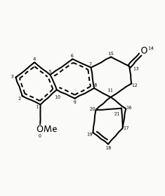 COc1cccc2cc3c(cc12)C1(CC(=O)C3)CC2C=CC1C2